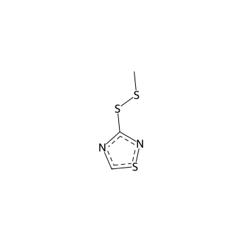 CSSc1ncsn1